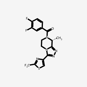 C[C@@H]1c2nnc(-c3csc(C(F)(F)F)n3)n2CCN1C(=O)c1ccc(F)c(F)c1